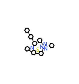 c1ccc(-c2ccc(-c3cccc(-n4c5ccccc5c5ccc6c7cccc(-c8nc(-c9ccccc9)nc(-c9ccccc9)n8)c7sc6c54)c3)cc2)cc1